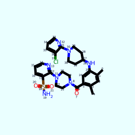 Cc1cc(C)c(C(=O)N2CCN(c3ncccc3S(N)(=O)=O)CC2)cc1NC1CCN(c2ncccc2Cl)CC1